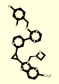 O=C(O)c1ccc2nc(C3CC3c3cc(-c4nccnc4OCc4ccc(Cl)cc4F)ccn3)n(C[C@@H]3CCO3)c2n1